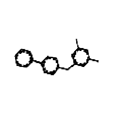 Cc1[c]c(Cc2ccc(-c3ccccc3)cc2)cc(C)c1